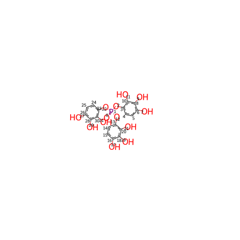 O=P(Oc1ccc(O)c(O)c1O)(Oc1ccc(O)c(O)c1O)Oc1ccc(O)c(O)c1O